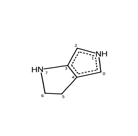 c1[nH]cc2c1CCN2